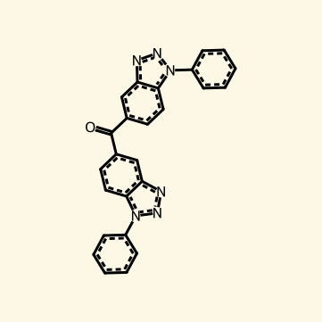 O=C(c1ccc2c(c1)nnn2-c1ccccc1)c1ccc2c(c1)nnn2-c1ccccc1